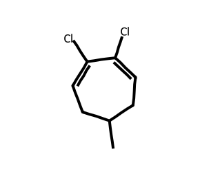 CC1CC=C(Cl)C(Cl)=CC1